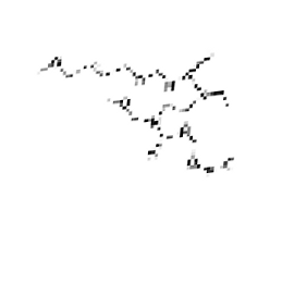 CCN1C(=O)N(COC/C=C/COC)C2C1N(COC(C)=O)C(=O)N2COC